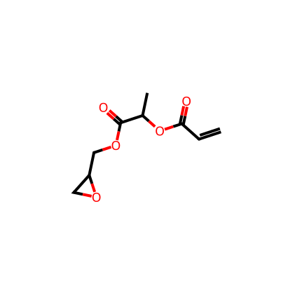 C=CC(=O)OC(C)C(=O)OCC1CO1